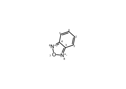 c1ccc2c(c1)=[N+]O[N+]=2